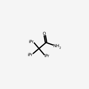 CC(C)C(C(N)=O)(C(C)C)C(C)C